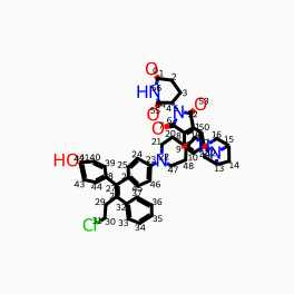 O=C1CCC(N2C(=O)c3ccc(N4C5CC4CN(CC4CCN(c6ccc(C(=C(CCCl)c7ccccc7)c7ccc(O)cc7)cc6)CC4)C5)cc3C2=O)C(=O)N1